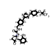 CC(C)c1ccccc1N1C(=O)CS/C1=N\C(=O)NCc1ccc(-c2ncn(-c3ccc(OC(F)(F)C(F)(F)F)cc3)n2)cc1